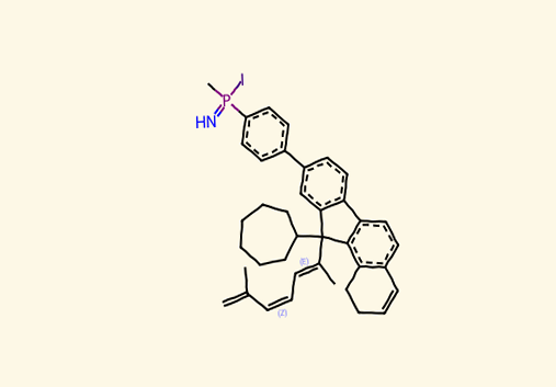 C=C(C)/C=C\C=C(/C)C1(C2CCCCCC2)c2cc(-c3ccc(P(C)(=N)I)cc3)ccc2-c2ccc3c(c21)CCC=C3